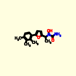 Cc1ccc(-c2ccc(C(C)N(O)C(N)=O)o2)c(C)c1C